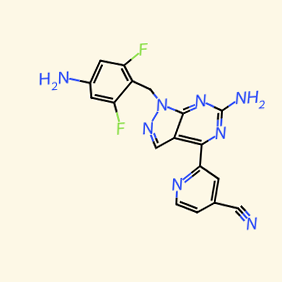 N#Cc1ccnc(-c2nc(N)nc3c2cnn3Cc2c(F)cc(N)cc2F)c1